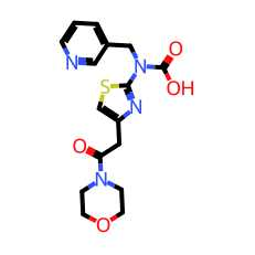 O=C(Cc1csc(N(Cc2cccnc2)C(=O)O)n1)N1CCOCC1